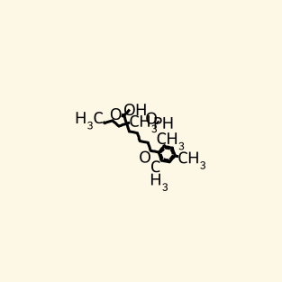 CCCCC(C)(CCCCC(=O)c1c(C)cc(C)cc1C)C(=O)O.O=P